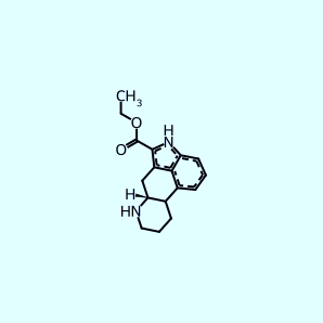 CCOC(=O)c1[nH]c2cccc3c2c1C[C@H]1NCCCC31